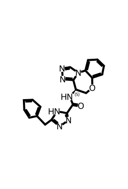 O=C(N[C@@H]1COc2ccccc2-n2cnnc21)c1nnc(Cc2ccccc2)[nH]1